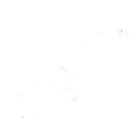 COC(=O)CCCCN(CCCc1ccccc1)C(=O)OC(C)(C)C